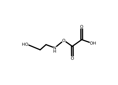 O=C(O)C(=O)ONCCO